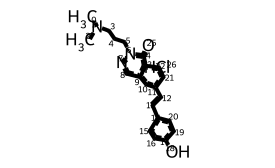 CN(C)CCCn1ncc2cc(C=Cc3ccc(O)cc3)ccc2c1=O.Cl